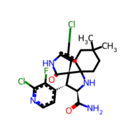 CC1(C)CCC2(CC1)N[C@@H](C(N)=O)[C@H](c1ccnc(Cl)c1F)[C@]21C(=O)Nc2cc(Cl)ccc21